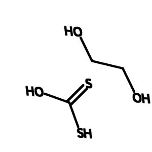 OC(=S)S.OCCO